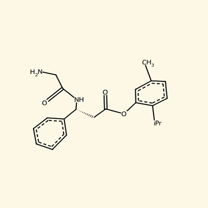 Cc1ccc(C(C)C)c(OC(=O)C[C@@H](NC(=O)CN)c2ccccc2)c1